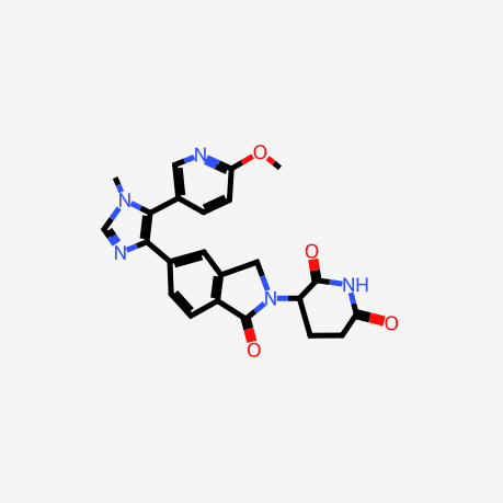 COc1ccc(-c2c(-c3ccc4c(c3)CN(C3CCC(=O)NC3=O)C4=O)ncn2C)cn1